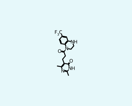 Cc1nc(C)c(CCC(=O)N2CCNc3cc(C(F)(F)F)ccc32)c(=O)[nH]1